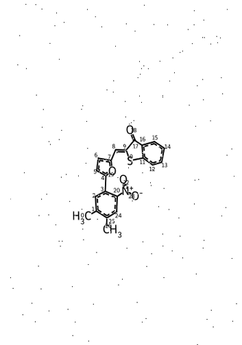 Cc1cc(-c2ccc(C=C3Sc4ccccc4C3=O)o2)c([N+](=O)[O-])cc1C